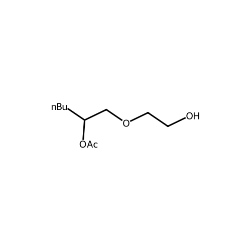 CCCCC(COCCO)OC(C)=O